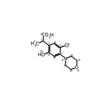 CC(C(=O)O)c1cc(Cl)c(N2CCOCC2)cc1O